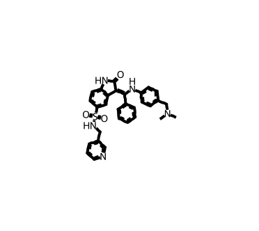 CN(C)Cc1ccc(N/C(=C2\C(=O)Nc3ccc(S(=O)(=O)NCc4cccnc4)cc32)c2ccccc2)cc1